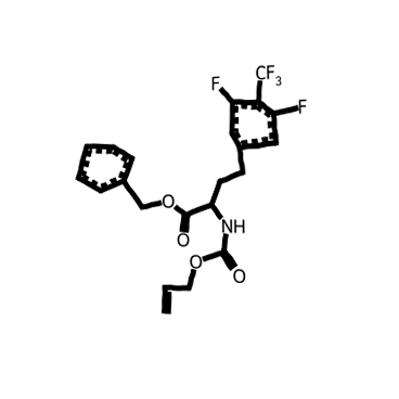 C=CCOC(=O)NC(CCc1cc(F)c(C(F)(F)F)c(F)c1)C(=O)OCc1ccccc1